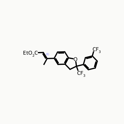 CCOC(=O)/C=C(\C)c1ccc2c(c1)CC(c1cccc(C(F)(F)F)c1)(C(F)(F)F)O2